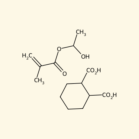 C=C(C)C(=O)OC(C)O.O=C(O)C1CCCCC1C(=O)O